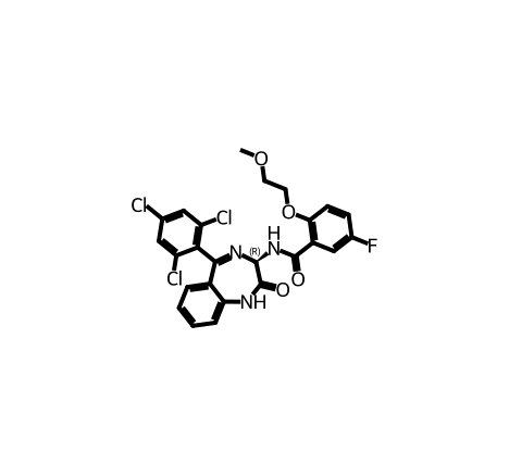 COCCOc1ccc(F)cc1C(=O)N[C@@H]1N=C(c2c(Cl)cc(Cl)cc2Cl)c2ccccc2NC1=O